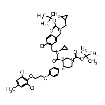 Cc1cc(Cl)c(OCCOc2ccc([C@H]3CCN(C(=O)OC(C)(C)C)C[C@@H]3C(=O)N(Cc3cc(CN(CC4CC4)C(=O)OC(C)(C)C)ccc3Cl)C3CC3)cc2)c(Cl)c1